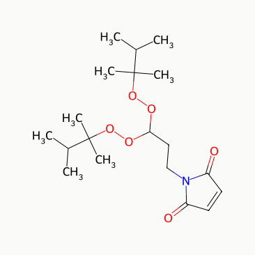 CC(C)C(C)(C)OOC(CCN1C(=O)C=CC1=O)OOC(C)(C)C(C)C